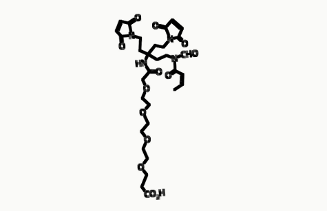 C/C=C\C(=O)N(C=O)CCC(CCN1C(=O)C=CC1=O)(CCN1C(=O)C=CC1=O)NC(=O)COCCOCCOCCOCCC(=O)O